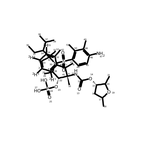 [2H]c1c([2H])c([2H])c(C(C)[C@](C)(NC(=O)O[C@H]2CC(C)OC2C)[C@H](OP(=O)(O)O)C(C)N(C(C)(C)C(CC)C(C)C)S(=O)(=O)c2ccc(N)c(C)c2C)c(C)c1[2H]